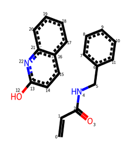 C=CC(=O)NCc1ccccc1.Oc1ccc2ccccc2n1